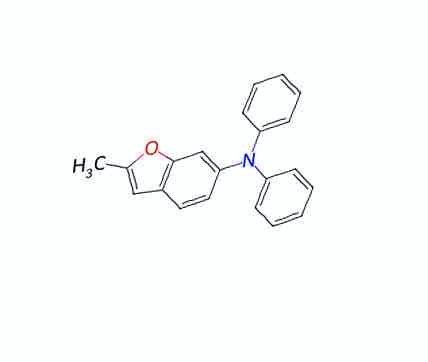 Cc1cc2ccc(N(c3ccccc3)c3ccccc3)cc2o1